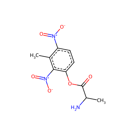 Cc1c([N+](=O)[O-])ccc(OC(=O)C(C)N)c1[N+](=O)[O-]